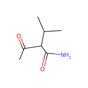 CC(=O)C(C(N)=O)C(C)C